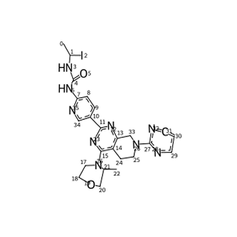 CC(I)NC(=O)Nc1ccc(-c2nc3c(c(N4CCOCC4C)n2)CCN(c2ncccn2)C3)cn1